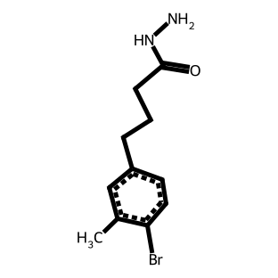 Cc1cc(CCCC(=O)NN)ccc1Br